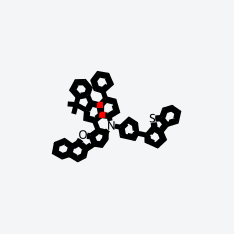 CC1(C)c2ccccc2-c2ccc(-c3c(N(c4ccc(-c5ccccc5)cc4)c4ccc(-c5cccc6c5sc5ccccc56)cc4)ccc4c3oc3c5ccccc5ccc43)cc21